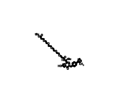 Cc1ncsc1-c1ccc(CNC(=O)[C@@H]2C[C@@H](O)CN2C(=O)[C@@H](NC(=O)CCOCCOCCOCCOCCOCCC(=O)OC(C)(C)C)C(C)(C)C)cc1